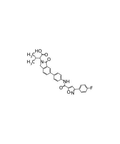 CC(C)C(C(=O)O)N1Cc2ccc(-c3ccc(NC(=O)c4cc(-c5ccc(F)cc5)no4)cc3)cc2C1=O